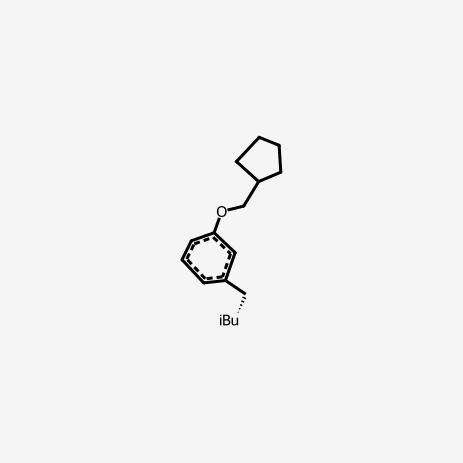 CC[C@@H](C)Cc1cccc(OCC2CCCC2)c1